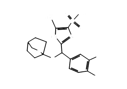 Cc1[nH]c(C(OC23CCC(CC2)CC3)c2ccc(F)c(Cl)c2)nc1S(C)(=O)=O